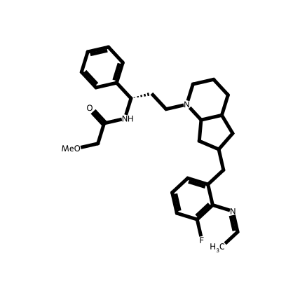 C/C=N\c1c(F)cccc1CC1CC2CCCN(CC[C@H](NC(=O)COC)c3ccccc3)C2C1